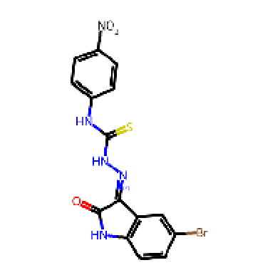 O=C1Nc2ccc(Br)cc2/C1=N/NC(=S)Nc1ccc([N+](=O)[O-])cc1